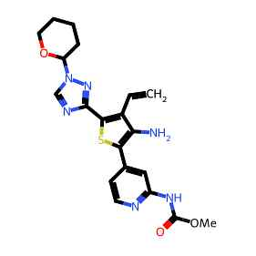 C=Cc1c(-c2ncn(C3CCCCO3)n2)sc(-c2ccnc(NC(=O)OC)c2)c1N